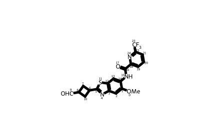 COc1cc2nc(C3CC(C=O)C3)sc2cc1NC(=O)c1cccc(C(F)(F)F)n1